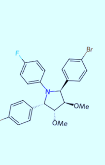 CO[C@H]1[C@H](OC)[C@H](c2ccc(Br)cc2)N(c2ccc(F)cc2)[C@H]1c1ccc(Br)cc1